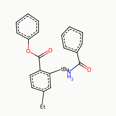 CCc1ccc(C(=O)Oc2ccccc2)c(C(C)(C)C)c1.NC(=O)c1ccccc1